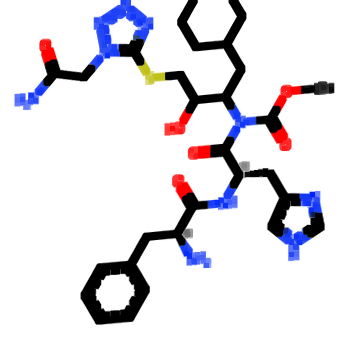 CC(C)(C)OC(=O)N(C(=O)[C@H](Cc1c[nH]cn1)NC(=O)[C@@H](N)Cc1ccccc1)C(CC1CCCCC1)C(O)CSc1nnnn1CC(N)=O